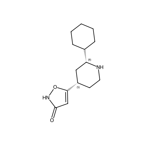 O=c1cc([C@H]2CCN[C@@H](C3CCCCC3)C2)o[nH]1